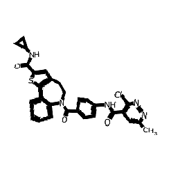 Cc1cc(C(=O)Nc2ccc(C(=O)N3CCc4cc(C(=O)NC5CC5)sc4-c4ccccc43)cc2)c(Cl)nn1